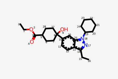 CCOC(=O)C1CCC(O)(c2ccc3c(CC)nn(C4CCCCC4)c3c2)CC1